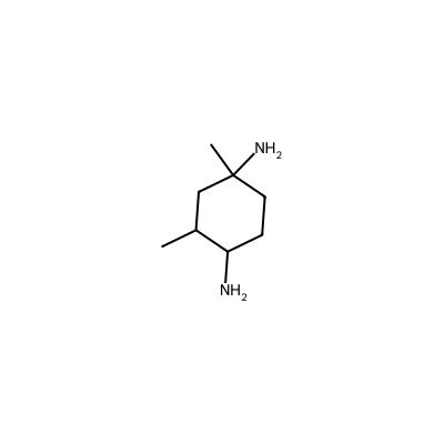 CC1CC(C)(N)CCC1N